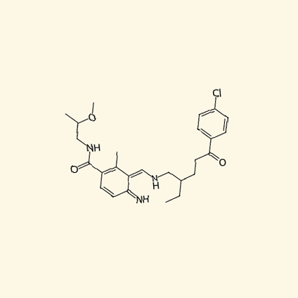 CCC(CCC(=O)c1ccc(Cl)cc1)CN/C=C1\C(=N)C=CC(C(=O)NCC(C)OC)=C1C